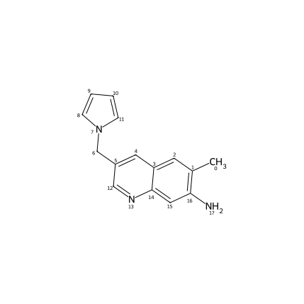 Cc1cc2cc(Cn3cccc3)cnc2cc1N